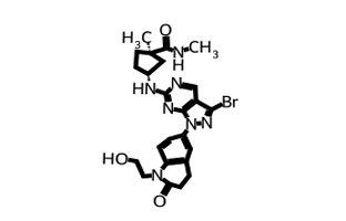 CNC(=O)[C@]1(C)CC[C@@H](Nc2ncc3c(Br)nn(-c4ccc5c(c4)CCC(=O)N5CCO)c3n2)C1